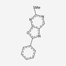 CSc1ncc2nc(-c3ccccc3)oc2n1